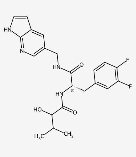 CC(C)C(O)C(=O)N[C@@H](Cc1ccc(F)c(F)c1)C(=O)NCc1cnc2[nH]ccc2c1